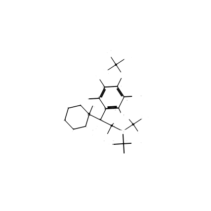 [2H]c1c([2H])c([C@]([2H])(C2(O)CCCCC2)C([2H])([2H])N(C([2H])([2H])[2H])C([2H])([2H])[2H])c([2H])c([2H])c1OC([2H])([2H])[2H]